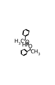 CC(OPOC(C)c1ccccc1)c1ccccc1